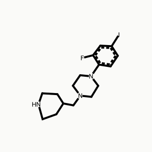 Fc1cc(I)ccc1N1CCN(CC2CCNCC2)CC1